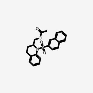 CC(=O)OCC1CCc2ccccc2N1S(=O)(=O)c1ccc2ccccc2c1